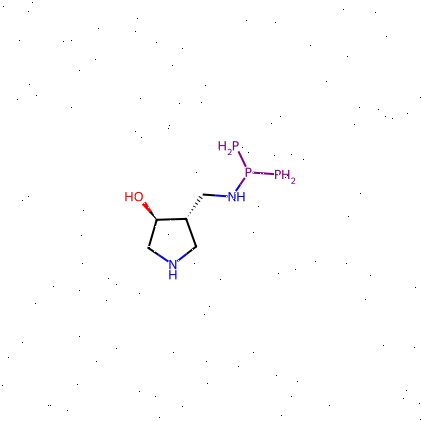 O[C@@H]1CNC[C@H]1CNP(P)P